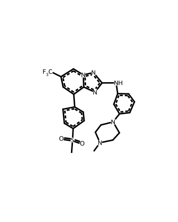 CN1CCN(c2cccc(Nc3nc4c(-c5ccc(S(C)(=O)=O)cc5)cc(C(F)(F)F)cn4n3)c2)CC1